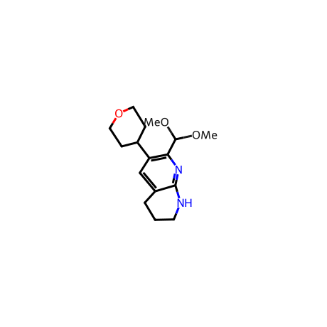 COC(OC)c1nc2c(cc1C1CCOCC1)CCCN2